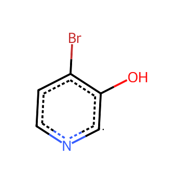 Oc1[c]nccc1Br